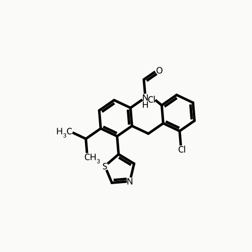 CC(C)c1ccc(NC=O)c(Cc2c(Cl)cccc2Cl)c1-c1cncs1